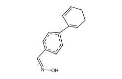 O/N=C\c1ccc(C2=CCCC=C2)cc1